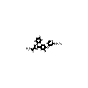 CC(=O)Nc1cc(Oc2ccc(-c3nc(C(N)=O)cn3-c3ccc(F)cc3)cc2F)ccn1